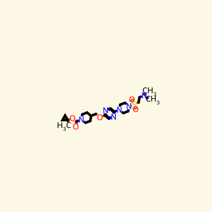 CN(C)CCS(=O)(=O)N1CCN(c2cnc(OCC3CCN(C(=O)OC4(C)CC4)CC3)cn2)CC1